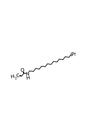 C=CC(=O)NCCCCCCCCCCCCCCC(C)C